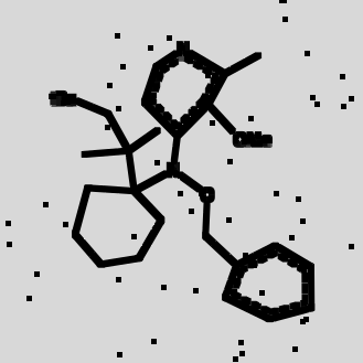 COc1c(N(OCc2ccccc2)C2(C(C)(C)CC(C)(C)C)CCCCC2)ccnc1C